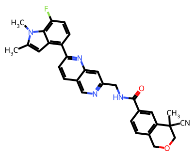 Cc1cc2c(-c3ccc4cnc(CNC(=O)c5ccc6c(c5)C(C)(C#N)COC6)cc4n3)ccc(F)c2n1C